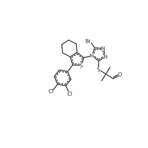 CC(C)(C=O)Sc1nnc(Br)n1-c1sc(-c2ccc(Cl)c(Cl)c2)c2c1CCCC2